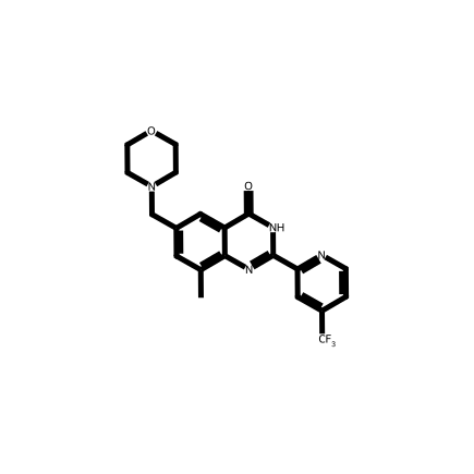 Cc1cc(CN2CCOCC2)cc2c(=O)[nH]c(-c3cc(C(F)(F)F)ccn3)nc12